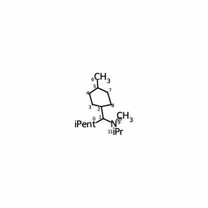 CCCC(C)C(C1CCC(C)CC1)N(C)C(C)C